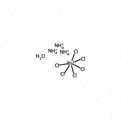 O.[Cl][Rh-3]([Cl])([Cl])([Cl])([Cl])[Cl].[NH4+].[NH4+].[NH4+]